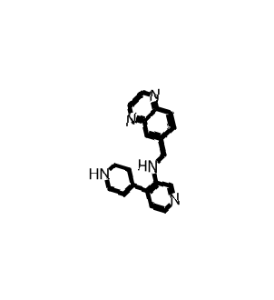 c1cc(C2CCNCC2)c(NCc2ccc3nccnc3c2)cn1